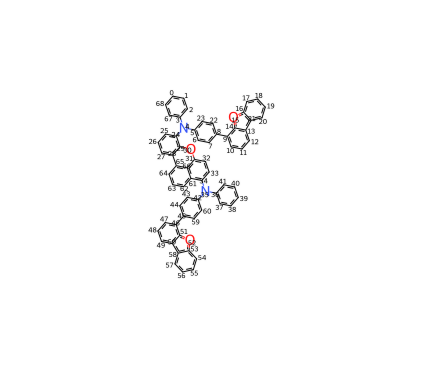 c1ccc(N(c2ccc(-c3cccc4c3oc3ccccc34)cc2)c2cccc3c2Oc2ccc(N(c4ccccc4)c4ccc(-c5cccc6c5oc5ccccc56)cc4)c4cccc-3c24)cc1